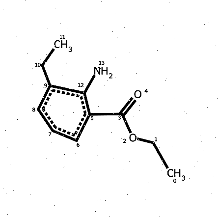 CCOC(=O)c1cccc(CC)c1N